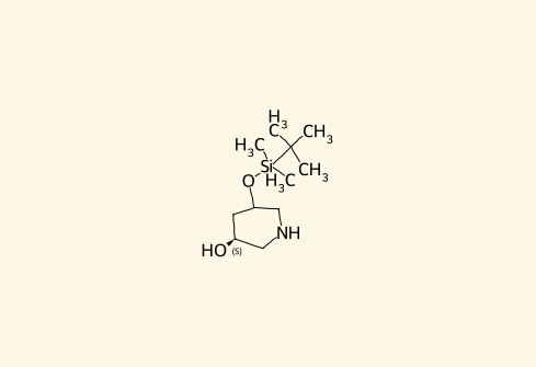 CC(C)(C)[Si](C)(C)OC1CNC[C@@H](O)C1